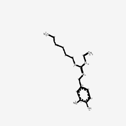 CCCCCCOC(=NCc1ccc(O)c(O)c1)OCC